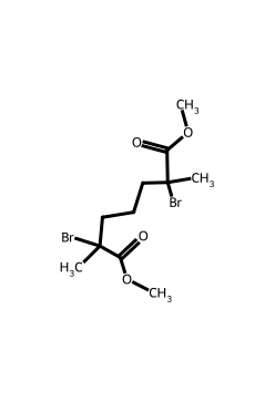 COC(=O)C(C)(Br)CCCC(C)(Br)C(=O)OC